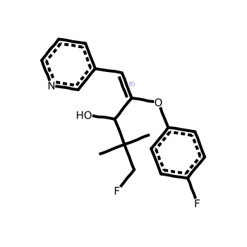 CC(C)(CF)C(O)/C(=C\c1cccnc1)Oc1ccc(F)cc1